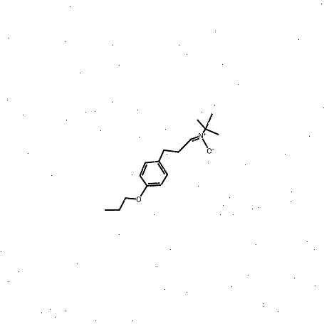 CCCOc1ccc(CCC=[N+]([O-])C(C)(C)C)cc1